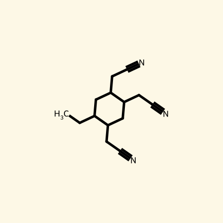 CCC1CC(CC#N)C(CC#N)CC1CC#N